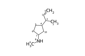 C=CC(C)C1CCC(NC)C1